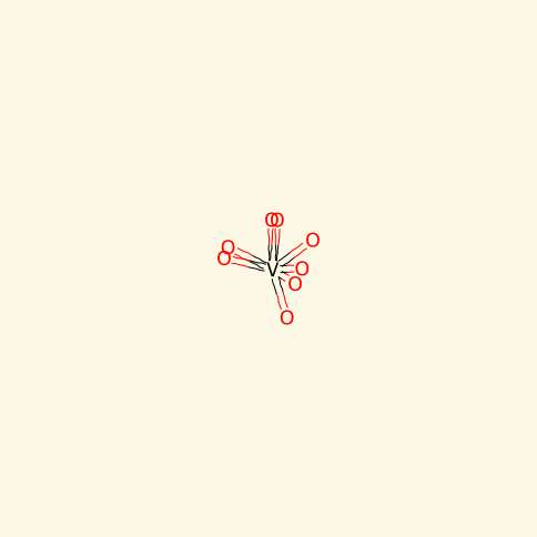 [O]=[V](=[O])(=[O])(=[O])(=[O])(=[O])(=[O])=[O]